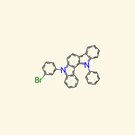 Brc1cccc(-n2c3ccccc3c3c2ccc2c4ccccc4n(-c4ccccc4)c23)c1